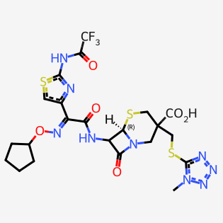 Cn1nnnc1SCC1(C(=O)O)CS[C@@H]2C(NC(=O)C(=NOC3CCCC3)c3csc(NC(=O)C(F)(F)F)n3)C(=O)N2C1